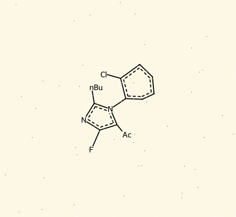 CCCCc1nc(F)c(C(C)=O)n1-c1ccccc1Cl